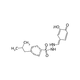 CC(C)Cc1ccc(S(=O)(=O)NNC=C2C=CC(=O)C(O)=C2)cc1